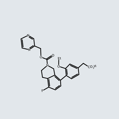 CCOc1cc(CC(=O)O)ccc1-c1ccc(F)c2c1CN(C(=O)OCc1cnccn1)CC2